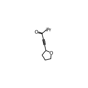 CC(C)C(=O)C#CC1CCCO1